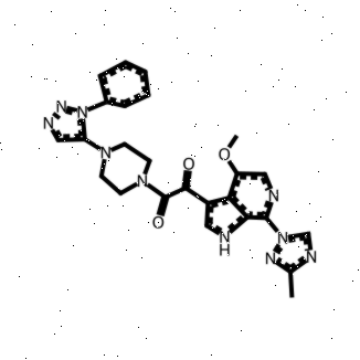 COc1cnc(-n2cnc(C)n2)c2[nH]cc(C(=O)C(=O)N3CCN(c4cnnn4-c4ccccc4)CC3)c12